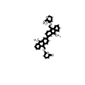 Cc1c2ccccc2c(COC2CCCC(=O)O2)c2ccc(-c3ccc4c(COC5(C)CCCOC5=O)c5ccccc5c(C)c4c3)cc12